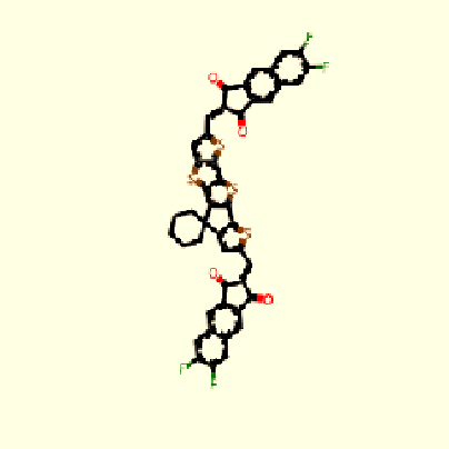 O=C1C(=Cc2cc3c(s2)-c2sc4c(sc5cc(C=C6C(=O)c7cc8cc(F)c(F)cc8cc7C6=O)sc54)c2C32CCCCC2)C(=O)c2cc3cc(F)c(F)cc3cc21